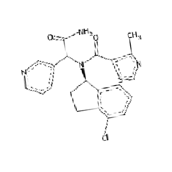 Cc1ncsc1C(=O)N(C(C(N)=O)c1cccnc1)[C@@H]1CCc2c(Cl)cccc21